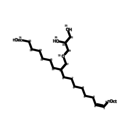 CCCCCCCC/C=C\CCCCCCC(CCCCCCCCCCCCCCCC)COCC(O)CO